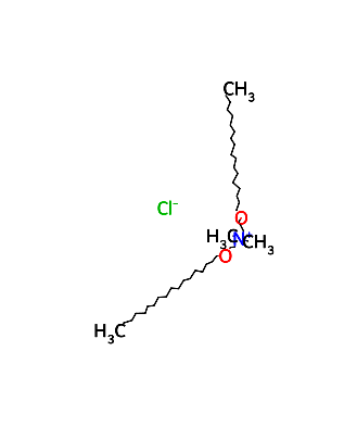 CCCCCCCCCCCCCCCCCCOCC[N+](C)(C)CCOCCCCCCCCCCCCCCCCCC.[Cl-]